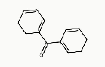 O=C(C1=CCCC=C1)C1=CC=CCC1